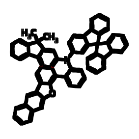 CC1(C)c2ccccc2-c2ccc(N(c3ccc4c(c3)C3(c5ccccc5-c5ccccc53)c3ccccc3-4)c3ccccc3-c3cccc4c3oc3cc5ccccc5cc34)cc21